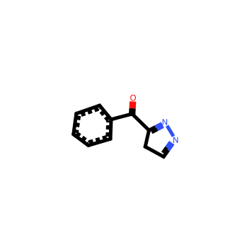 O=C(C1=NN=CC1)c1ccccc1